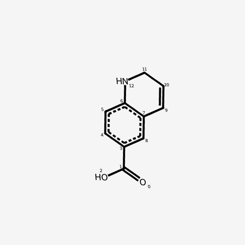 O=C(O)c1ccc2c(c1)C=CCN2